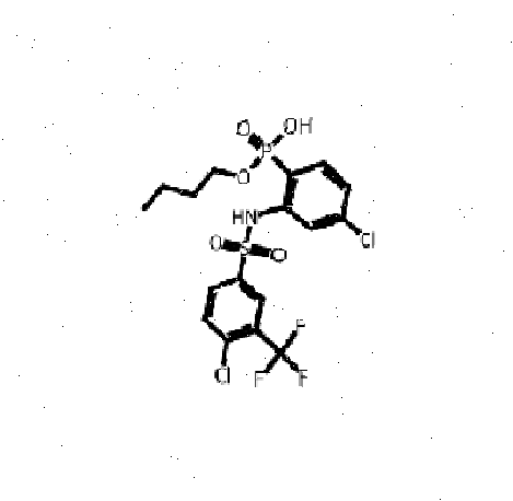 CCCCOP(=O)(O)c1ccc(Cl)cc1NS(=O)(=O)c1ccc(Cl)c(C(F)(F)F)c1